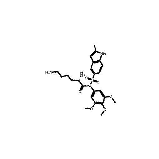 COc1cc(N(C(=O)[C@@H](N)CCCCN)S(=O)(=O)c2ccc3[nH]c(C)cc3c2)cc(OC)c1OC